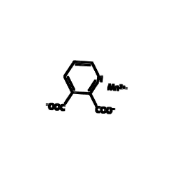 O=C([O-])c1cccnc1C(=O)[O-].[Mn+2]